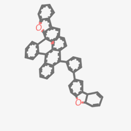 C1=CC2Oc3ccc(-c4cccc(-c5c6ccccc6c(-c6ccccc6-c6cccc7c6oc6ccccc67)c6ccccc56)c4)cc3C2C=C1